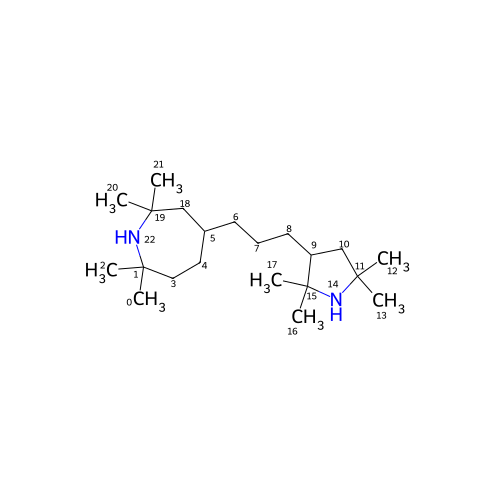 CC1(C)CCC(CCCC2CC(C)(C)NC2(C)C)CC(C)(C)N1